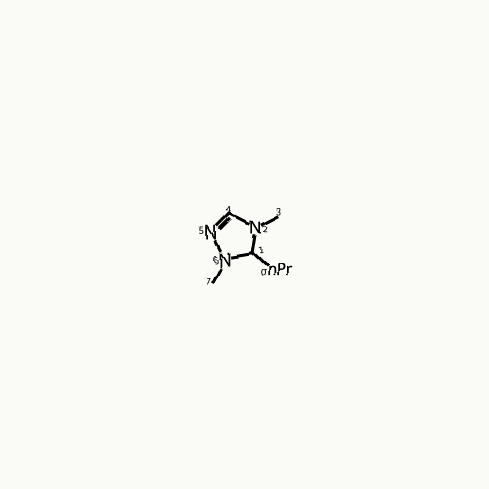 CCCC1N(C)C=NN1C